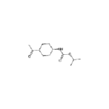 CC(=O)C1CCC(NC(=O)OC(C)C)CC1